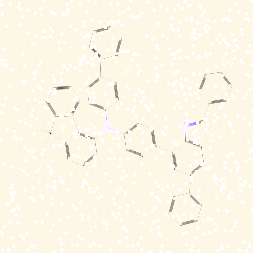 CC1(C)c2ccccc2-c2c(N(c3ccc(-c4c5nc(-c6ccccc6)oc5cc5c4oc4ccccc45)cc3)c3ccc4c(c3)oc3ccccc34)cccc21